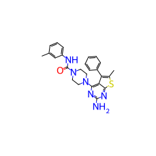 Cc1cccc(NC(=O)N2CCN(c3nc(N)nc4sc(C)c(-c5ccccc5)c34)CC2)c1